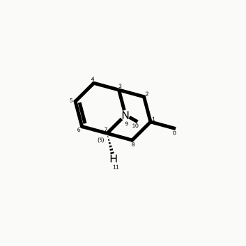 CC1CC2CC=C[C@H](C1)N2C